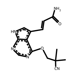 CC(C)(C#N)COc1ncnc2[nH]cc(C=CC(N)=O)c12